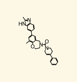 Cc1nc2ccc(-c3cc(C)c4c(c3)CN(C(=O)N3CC=C(c5ccccc5)CC3)CCO4)cc2[nH]1